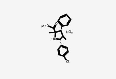 COC(=O)[C@@]1(C)N[C@@H](c2ccc(Cl)cc2)[C@@](C)([N+](=O)[O-])[C@@H]1c1ccccc1